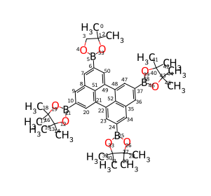 CC1(C)COB(c2cc3cc(B4OC(C)(C)C(C)(C)O4)cc4c5cc(B6OC(C)(C)C(C)(C)O6)cc6cc(B7OC(C)(C)C(C)(C)O7)cc(c(c2)c34)c65)O1